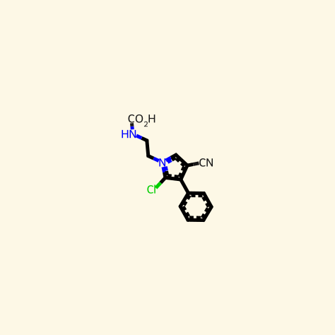 N#Cc1cn(CCNC(=O)O)c(Cl)c1-c1ccccc1